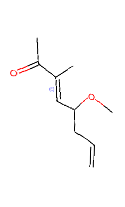 C=CCC(/C=C(\C)C(C)=O)OC